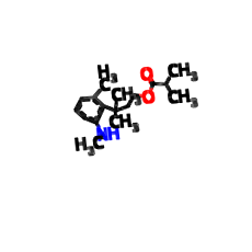 CNc1cccc(C)c1C(C)(C)CCOC(=O)C(C)C